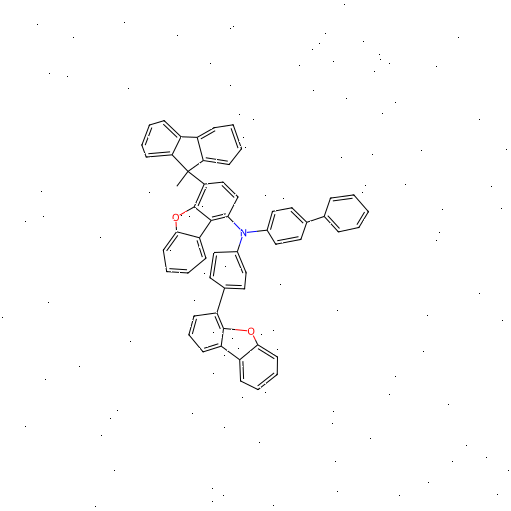 CC1(c2ccc(N(c3ccc(-c4ccccc4)cc3)c3ccc(-c4cccc5c4oc4ccccc45)cc3)c3c2oc2ccccc23)c2ccccc2-c2ccccc21